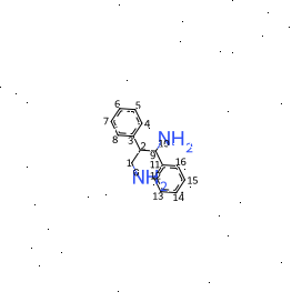 NCC(c1ccccc1)C(N)c1cc[c]cc1